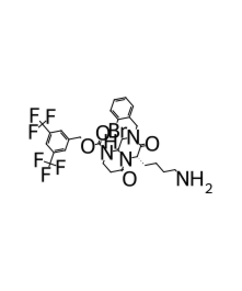 NCCCC[C@H]1C(=O)N(Cc2ccccc2Br)C[C@@H]2N(C(=O)OCc3cc(C(F)(F)F)cc(C(F)(F)F)c3)CCC(=O)N21